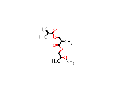 C=C(C)C(=O)OCC(=C)C(=O)OCC(C)O[SiH3]